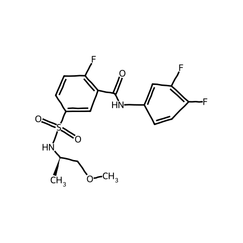 COC[C@@H](C)NS(=O)(=O)c1ccc(F)c(C(=O)Nc2ccc(F)c(F)c2)c1